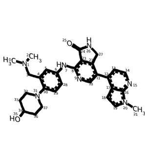 CN(C)Cc1cc(Nc2ncc(-c3ccnc4c3ccn4C)c3c2C(=O)NC3)ccc1N1CCC(O)CC1